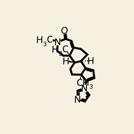 CN1CC[C@@]2(C)C(=CC1=O)CC[C@H]1C3=CC=C(n4ccnc4)[C@@]3(C)CC[C@@H]12